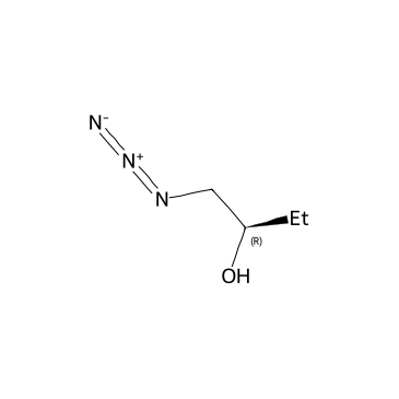 CC[C@@H](O)CN=[N+]=[N-]